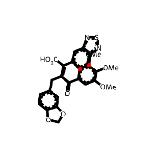 COc1cc(C(=O)/C(Cc2ccc3c(c2)OCO3)=C(/C(=O)O)c2ccc3nsnc3c2)cc(OC)c1OC